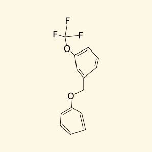 FC(F)(F)Oc1cccc(COc2ccccc2)c1